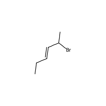 CCC=CC(C)Br